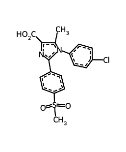 Cc1c(C(=O)O)nc(-c2ccc(S(C)(=O)=O)cc2)n1-c1ccc(Cl)cc1